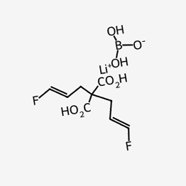 O=C(O)C(CC=CF)(CC=CF)C(=O)O.[Li+].[O-]B(O)O